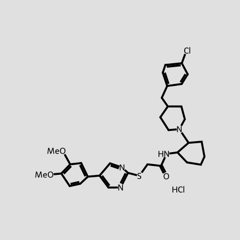 COc1ccc(-c2cnc(SCC(=O)NC3CCCCC3N3CCC(Cc4ccc(Cl)cc4)CC3)nc2)cc1OC.Cl